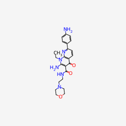 CCn1c(N)c(C(=O)NCCN2CCOCC2)c(=O)c2ccc(-c3ccc(N)cc3)nc21